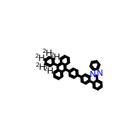 [2H]c1c([2H])c([2H])c(-c2c3ccccc3c(-c3ccc(-c4ccc5c6ccccc6c6nc7ccccc7n6c5c4)cc3)c3ccccc23)c([2H])c1[2H]